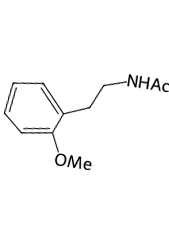 COc1ccccc1CCNC(C)=O